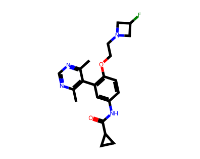 Cc1ncnc(C)c1-c1cc(NC(=O)C2CC2)ccc1OCCN1CC(F)C1